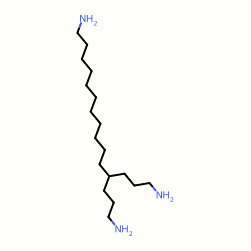 NCCCCCCCCCCCC(CCCN)CCCN